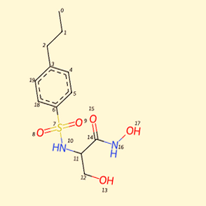 CCCc1ccc(S(=O)(=O)NC(CO)C(=O)NO)cc1